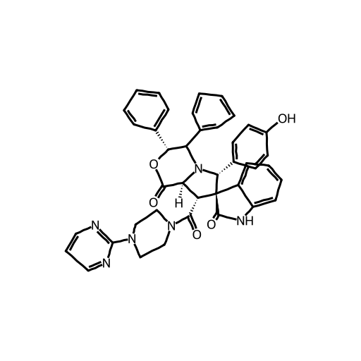 O=C1O[C@H](c2ccccc2)C(c2ccccc2)N2[C@H]1[C@@H](C(=O)N1CCN(c3ncccn3)CC1)[C@]1(C(=O)Nc3ccccc31)[C@H]2c1ccc(O)cc1